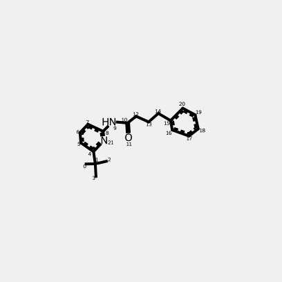 CC(C)(C)c1cccc(NC(=O)CCCc2ccccc2)n1